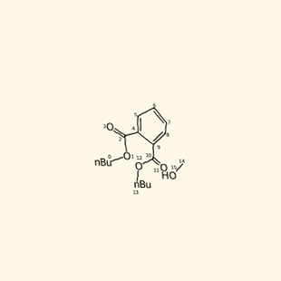 CCCCOC(=O)c1ccccc1C(=O)OCCCC.CO